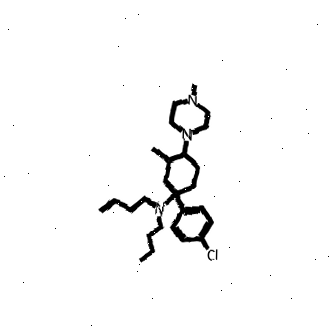 CCCCN(CCCC)C1(c2ccc(Cl)cc2)CCC(N2CCN(C)CC2)C(C)C1